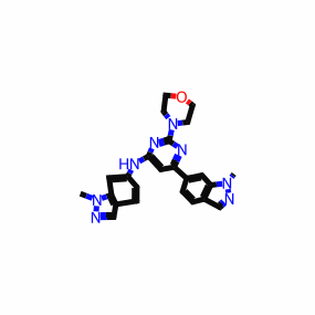 Cn1ncc2ccc(Nc3cc(-c4ccc5cnn(C)c5c4)nc(N4CCOCC4)n3)cc21